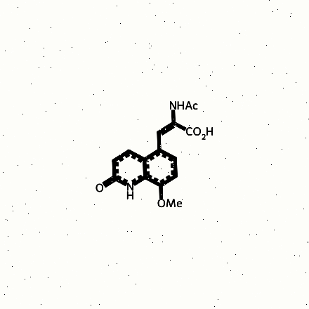 COc1ccc(C=C(NC(C)=O)C(=O)O)c2ccc(=O)[nH]c12